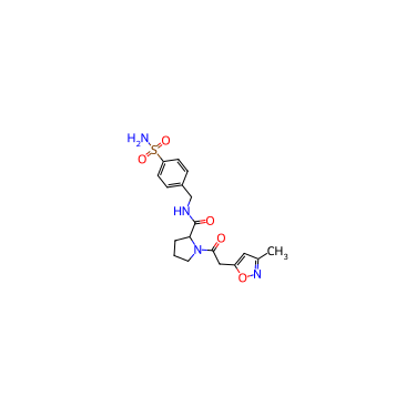 Cc1cc(CC(=O)N2CCCC2C(=O)NCc2ccc(S(N)(=O)=O)cc2)on1